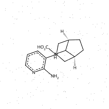 Nc1ncccc1N1C[C@H]2CC[C@@H](C1)C2NC(=O)O